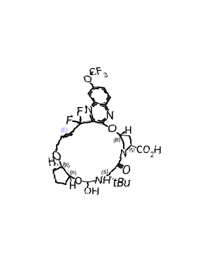 CC(C)(C)[C@@H]1NC(O)O[C@@H]2CCC[C@H]2OC/C=C/C(F)(F)c2nc3cc(OC(F)(F)F)ccc3nc2O[C@@H]2C[C@@H](C(=O)O)N(C2)C1=O